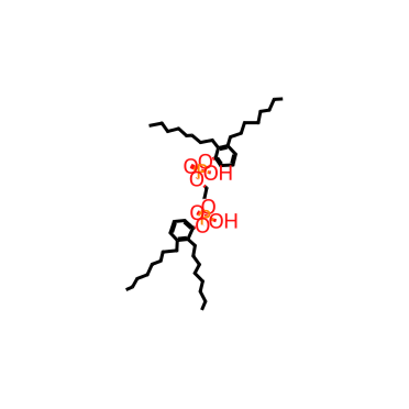 CCCCCCCCc1cccc(OP(=O)(O)OCCOP(=O)(O)Oc2cccc(CCCCCCCC)c2CCCCCCCC)c1CCCCCCCC